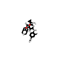 [C-]#[N+]c1ccc(Nc2ncnc(OC3C4COCC3CN(C(=O)OC3(C)CC3)C4)c2Cl)c(F)c1